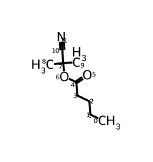 C[CH]CCC(=O)OC(C)(C)C#N